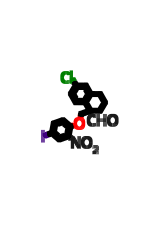 O=CC1(COc2ccc(I)cc2[N+](=O)[O-])CCCc2cc(Cl)ccc21